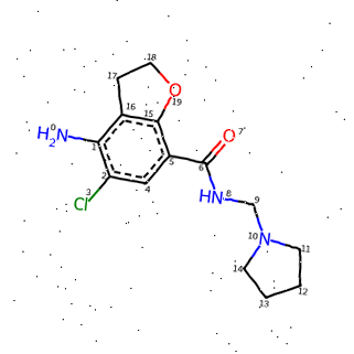 Nc1c(Cl)cc(C(=O)NCN2CCCC2)c2c1CCO2